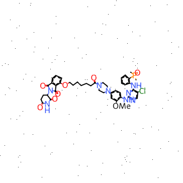 COc1cc(N2CCN(C(=O)CCCCCCOc3cccc4c3C(=O)N(C3CCC(=O)NC3=O)C4=O)CC2)ccc1Nc1ncc(Cl)c(Nc2ccccc2P(C)(C)=O)n1